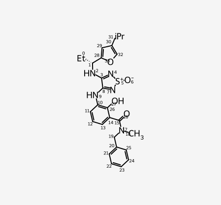 CC[C@@H](Nc1n[s+]([O-])nc1Nc1cccc(C(=O)N(C)Cc2ccccc2)c1O)c1cc(C(C)C)co1